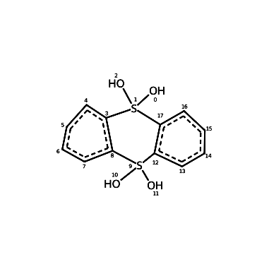 OS1(O)c2ccccc2S(O)(O)c2ccccc21